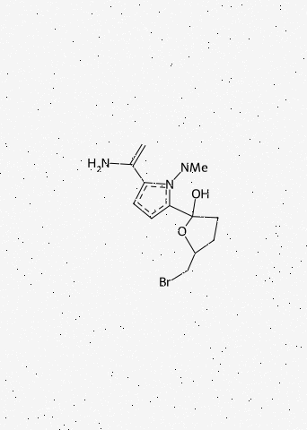 C=C(N)c1ccc(C2(O)CCC(CBr)O2)n1NC